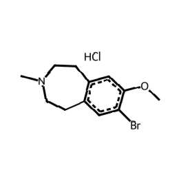 COc1cc2c(cc1Br)CCN(C)CC2.Cl